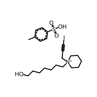 Cc1ccc(S(=O)(=O)O)cc1.OCCCCCCC[N+]1(CC#CI)CCCCC1